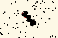 Cc1ccc(C)c(N(c2ccc3cc4c(cc3c2)oc2cc3c(cc24)oc2cc4cc(N(c5cc(C)ccc5C)c5cc(C)ccc5C)ccc4cc23)c2cc(C)ccc2C)c1